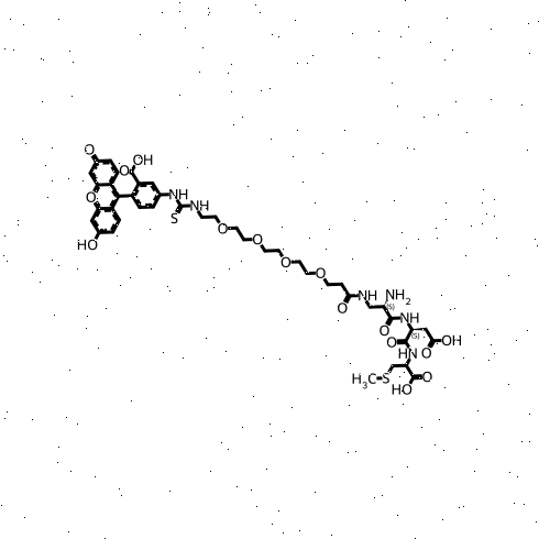 CSCC(NC(=O)[C@H](CC(=O)O)NC(=O)[C@@H](N)CNC(=O)CCOCCOCCOCCOCCNC(=S)Nc1ccc(-c2c3ccc(=O)cc-3oc3cc(O)ccc23)c(C(=O)O)c1)C(=O)O